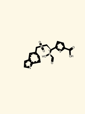 O=CN(O)[C@@H](CS(=O)(=O)Cc1ccc2sccc2c1)c1ccc(C(=O)O)s1